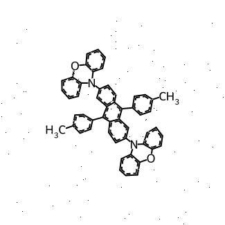 Cc1ccc(-c2c3ccc(N4c5ccccc5Oc5ccccc54)cc3c(-c3ccc(C)cc3)c3ccc(N4c5ccccc5Oc5ccccc54)cc23)cc1